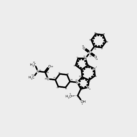 C[C@@H](O)c1nc2cnc3c(ccn3S(=O)(=O)c3ccccc3)c2n1C1CCC(OC(=O)N(C)C)CC1